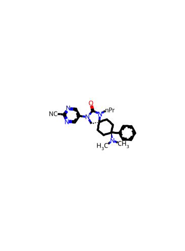 CCCN1C(=O)N(c2cnc(C#N)nc2)C[C@]12CC[C@](c1ccccc1)(N(C)C)CC2